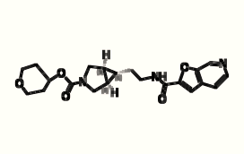 O=C(NCC[C@@H]1[C@H]2CN(C(=O)OC3CCOCC3)C[C@@H]12)c1cc2ccncc2o1